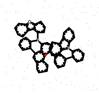 c1cc(-c2ccc(N(c3ccccc3-c3ccc4ccccc4c3)c3cccc4oc5ccccc5c34)cc2)cc(-c2ccccc2-n2c3ccccc3c3ccccc32)c1